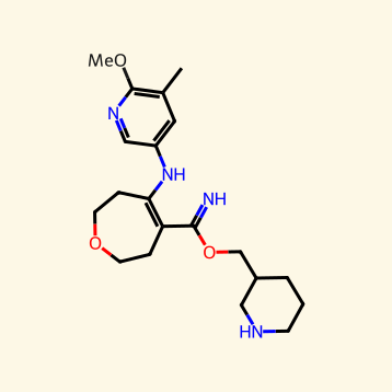 COc1ncc(NC2=C(C(=N)OCC3CCCNC3)CCOCC2)cc1C